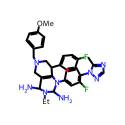 CCN1C(N)C2=C(C(c3ccc(F)cc3)CN(Cc3ccc(OC)cc3)C2)N(c2ccc(-n3ncnc3C)c(F)c2)C1N